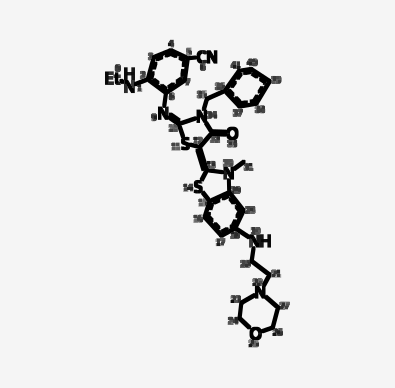 CCNc1ccc(C#N)cc1/N=C1/S/C(=C2\Sc3ccc(NCCN4CCOCC4)cc3N2C)C(=O)N1Cc1ccccc1